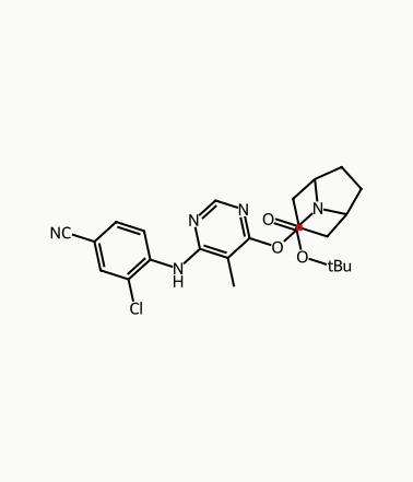 Cc1c(Nc2ccc(C#N)cc2Cl)ncnc1OC1CC2CCC(C1)N2C(=O)OC(C)(C)C